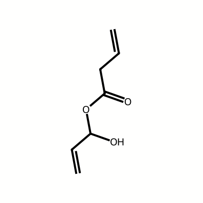 C=CCC(=O)OC(O)C=C